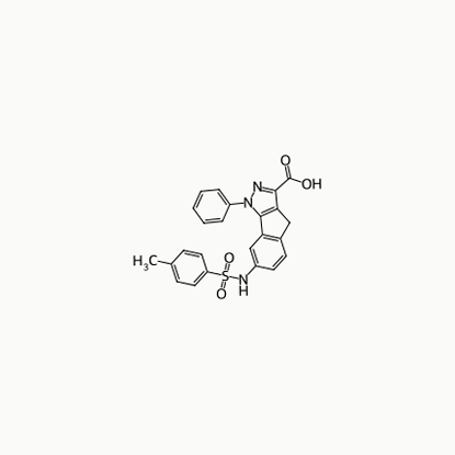 Cc1ccc(S(=O)(=O)Nc2ccc3c(c2)-c2c(c(C(=O)O)nn2-c2ccccc2)C3)cc1